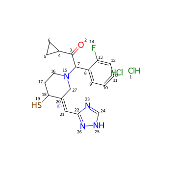 Cl.Cl.O=C(C1CC1)C(c1ccccc1F)N1CCC(S)/C(=C/c2nc[nH]n2)C1